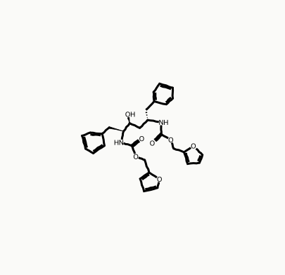 O=C(N[C@@H](Cc1ccccc1)C[C@H](O)[C@H](Cc1ccccc1)NC(=O)OCc1ccco1)OCc1ccco1